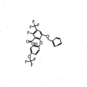 O=C(O)c1c(F)c(C(F)(F)F)cc(OCc2ccccc2)c1Oc1ccc(OC(F)(F)F)cc1